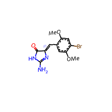 COc1cc(/C=C2\N=C(N)NC2=O)c(OC)cc1Br